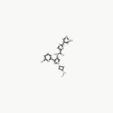 O=C(Nc1cn([C@H]2C[C@@H](OI)C2)nc1-c1cccc(F)n1)c1csc(-c2cn[nH]c2)n1